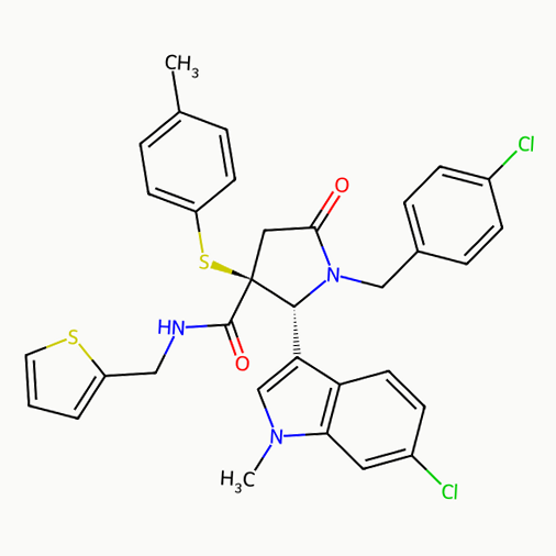 Cc1ccc(S[C@@]2(C(=O)NCc3cccs3)CC(=O)N(Cc3ccc(Cl)cc3)[C@@H]2c2cn(C)c3cc(Cl)ccc23)cc1